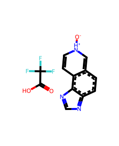 O=C(O)C(F)(F)F.[O-][NH+]1C=Cc2c3c(ccc2=C1)=NC=N3